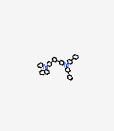 c1ccc(-c2ccc(N(c3ccc(C4=CCCC=C4)cc3)c3ccc(-c4cccc(-c5ccc(N(c6ccccc6)c6cccc7c6C=CCC7)cc5)c4)cc3)cc2)cc#1